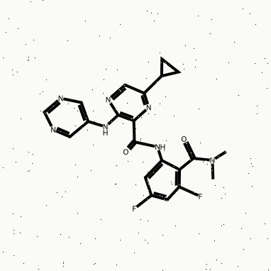 CN(C)C(=O)c1c(F)cc(F)cc1NC(=O)c1nc(C2CC2)cnc1Nc1cncnc1